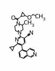 CCO[C@@H]1C[C@@H]1C(=O)N1CCN(c2nc(C3CC3)c(-c3cccc4cnccc34)cc2C#N)CC1C